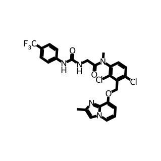 Cc1cn2cccc(OCc3c(Cl)ccc(N(C)C(=O)CNC(=O)Nc4ccc(C(F)(F)F)cc4)c3Cl)c2n1